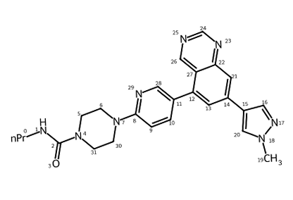 CCCNC(=O)N1CCN(c2ccc(-c3cc(-c4cnn(C)c4)cc4ncncc34)cn2)CC1